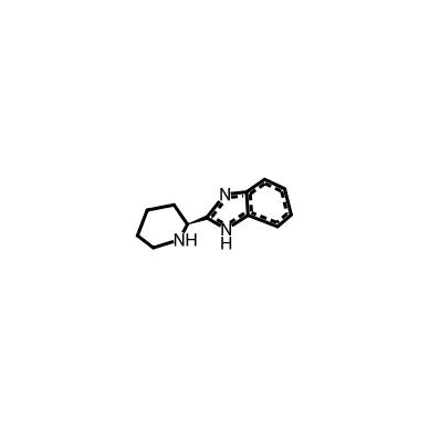 c1ccc2[nH]c([C@@H]3CCCCN3)nc2c1